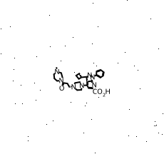 CN1CCCN(C(=O)CCN2CCN(c3cc(C(=O)O)nc4c3c(C3CCC3)nn4-c3ccccc3)CC2)CC1